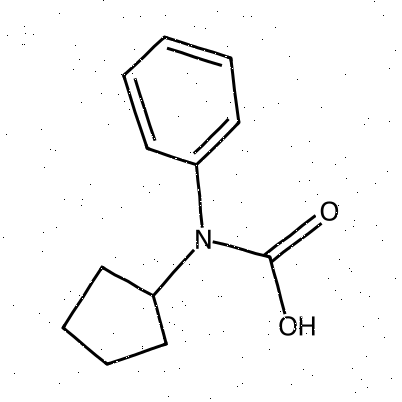 O=C(O)N(c1ccccc1)C1CCCC1